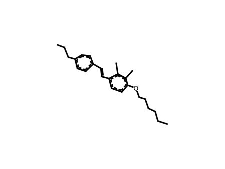 CCCCCCOc1ccc(C=Cc2ccc(CCC)cc2)c(C)c1C